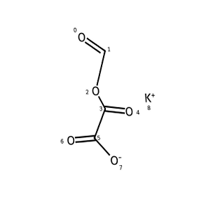 O=COC(=O)C(=O)[O-].[K+]